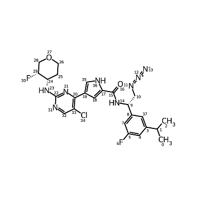 CC(C)c1cc(F)cc([C@@H](CN=[N+]=[N-])NC(=O)c2cc(-c3nc(N[C@H]4CCOC[C@H]4F)ncc3Cl)c[nH]2)c1